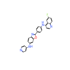 Fc1ccc2nccc(Nc3ccc(-c4nc5ccc(Nc6ccncc6)cc5o4)cc3)c2c1